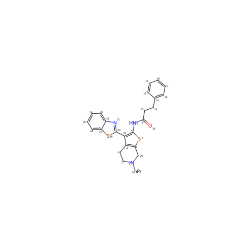 CCCN1CCc2c(sc(NC(=O)CCc3ccccc3)c2-c2nc3ccccc3s2)C1